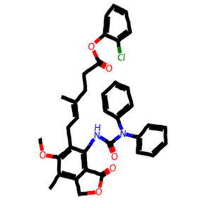 COc1c(C)c2c(c(NC(=O)N(c3ccccc3)c3ccccc3)c1C/C=C(\C)CCC(=O)Oc1ccccc1Cl)C(=O)OC2